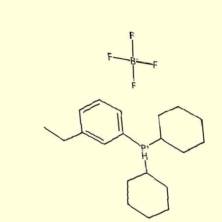 CCc1cccc([PH+](C2CCCCC2)C2CCCCC2)c1.F[B-](F)(F)F